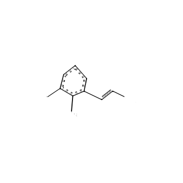 N#Cc1c(Cl)cccc1/C=C/C(=O)O